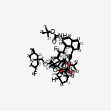 C=C1CN2C[C@H](F)CC2(COc2nc3c4c(nc(-c5cc(NC(=O)OC(C)(C)C)cc6cccc(C#C[Si](C(C)C)(C(C)C)C(C)C)c56)c(F)c4n2)O[C@@H](C)[C@@H]2[C@@H]4CC[C@H](CN32)N4C(=O)OC(C)(C)C)C1